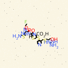 N=C(N)NC(CO)CSCc1cnccc1SC1=C(C(=O)O)N2C(=O)[C@@H](NC(=O)/C(=N\OCCF)c3csc(N)n3)[C@@H]2SC1